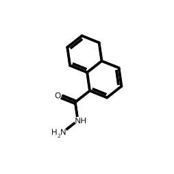 NNC(=O)C1=CC=CC2CC=CC=C12